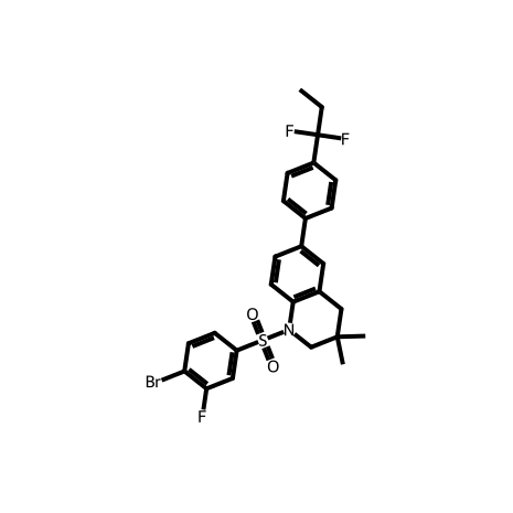 CCC(F)(F)c1ccc(-c2ccc3c(c2)CC(C)(C)CN3S(=O)(=O)c2ccc(Br)c(F)c2)cc1